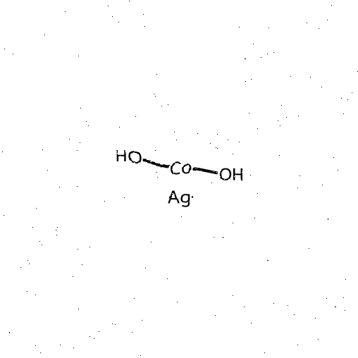 [Ag].[OH][Co][OH]